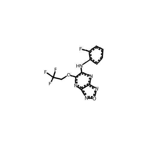 Fc1ccccc1Nc1nc2nonc2nc1OCC(F)(F)F